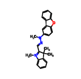 CN(N=CC1=[N+](C)c2ccccc2C1(C)C)c1ccc2oc3ccccc3c2c1